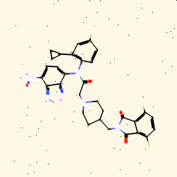 O=C1c2c(F)ccc(F)c2C(=O)N1CC1CCN(CC(=O)N(c2ccc(F)cc2C2CC2)c2ccc([N+](=O)[O-])c3nonc23)CC1